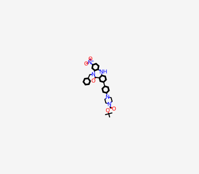 CC(C)(C)OC(=O)N1CCN(c2ccc(-c3ccc4c(c3)C(=O)N(Cc3ccccc3)c3cc([N+](=O)[O-])ccc3N4)cc2)CC1